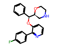 Fc1ccc(-c2ncccc2O[C@@H](c2ccccc2)[C@@H]2CNCCO2)cc1